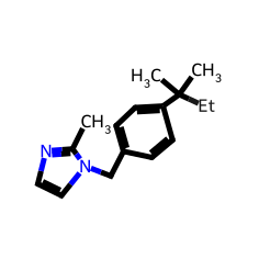 CCC(C)(C)c1ccc(Cn2ccnc2C)cc1